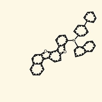 c1ccc(-c2ccc(N(c3cccc4ccccc34)c3cccc4c3oc3ccc5c(oc6ccc7ccccc7c65)c34)cc2)cc1